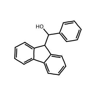 OC(c1ccccc1)C1c2ccccc2-c2ccccc21